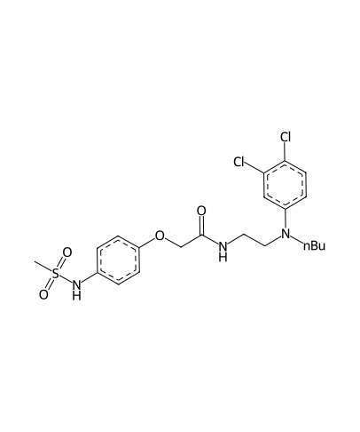 CCCCN(CCNC(=O)COc1ccc(NS(C)(=O)=O)cc1)c1ccc(Cl)c(Cl)c1